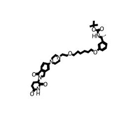 C[C@@H](NC(=O)OC(C)(C)C)c1cccc(OCCCCCCOCCN2CCN(c3ccc4c(c3)CN(C3CCC(=O)NC3=O)C4=O)CC2)c1